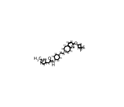 Cn1ncc(CC(=O)N[C@H]2CC[C@H](CCN3CCc4ccc(OC5CC(F)(F)C5)nc4CC3)CC2)n1